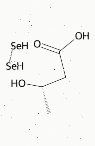 C[C@H](O)CC(=O)O.[SeH][SeH]